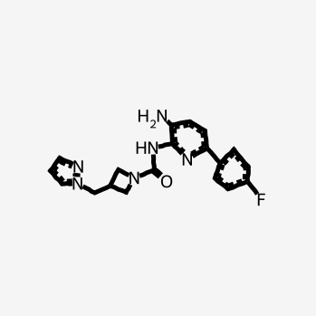 Nc1ccc(-c2ccc(F)cc2)nc1NC(=O)N1CC(Cn2cccn2)C1